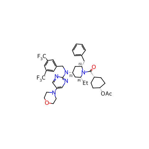 CC[C@@H]1C[C@H](N(Cc2cc(C(F)(F)F)cc(C(F)(F)F)c2)c2ncc(N3CCOCC3)cn2)C[C@H](Cc2ccccc2)N1C(=O)[C@H]1CC[C@@H](OC(C)=O)CC1